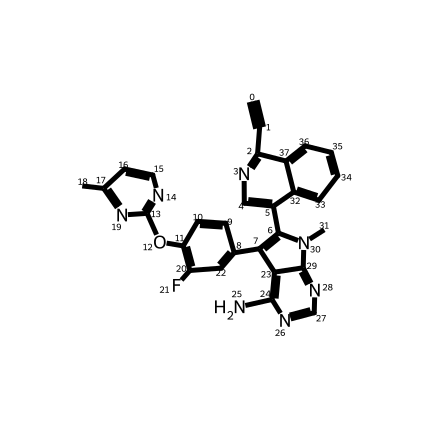 C#Cc1ncc(-c2c(-c3ccc(Oc4nccc(C)n4)c(F)c3)c3c(N)ncnc3n2C)c2ccccc12